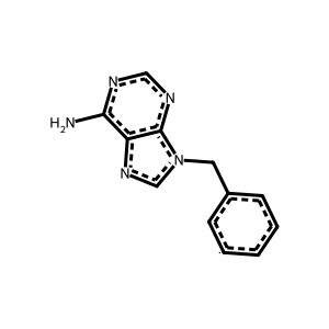 Nc1ncnc2c1ncn2Cc1c[c]ccc1